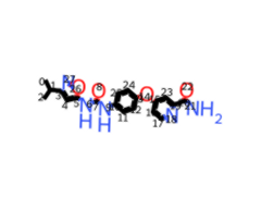 CC(C)c1cc(NC(=O)Nc2ccc(Oc3ccnc(C(N)=O)c3)cc2)on1